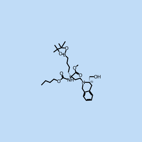 CCCCOC(=O)N[C@](CCCCB1OC(C)(C)C(C)(C)O1)(CCN1Cc2ccccc2C[C@H]1CO)C(=O)OC